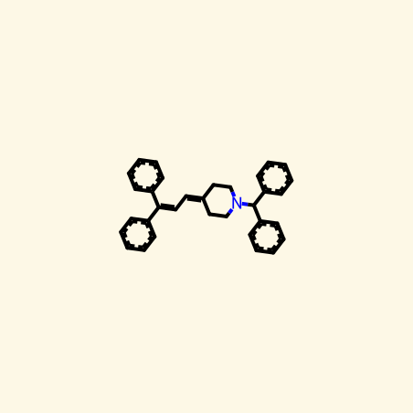 C(C=C(c1ccccc1)c1ccccc1)=C1CCN(C(c2ccccc2)c2ccccc2)CC1